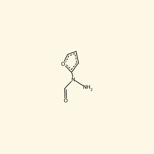 NN(C=O)c1ccco1